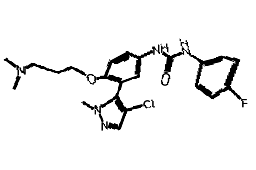 CN(C)CCCOc1ccc(NC(=O)Nc2ccc(F)cc2)cc1-c1c(Cl)cnn1C